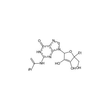 C=C(Nc1nc2c(ncn2C2OC(CC)(CO)C(O)=C2O)c(=O)[nH]1)C(C)C